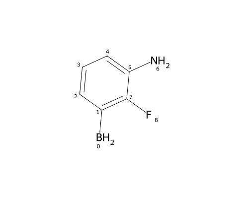 Bc1cccc(N)c1F